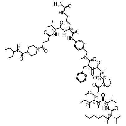 CCCCCN(C)[C@H](C(=O)N[C@H](C(=O)N(C)[C@@H]([C@@H](C)CC)[C@@H](CC(=O)N1CCC[C@H]1[C@H](OC)[C@@H](C)C(=O)N[C@@H](Cc1ccccc1)C(=O)N(C)Cc1ccc(NC(=O)[C@H](CCCNC(N)=O)NC(=O)[C@@H](NC(=O)CCC(=O)N2CCC(C(=O)NC(CC)CC)CC2)C(C)C)cc1)OC)C(C)C)C(C)C